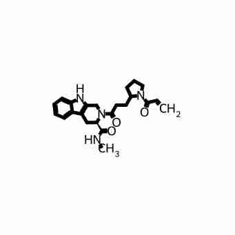 C=CC(=O)N1CCCC1CCC(=O)N1Cc2[nH]c3ccccc3c2C[C@@H]1C(=O)NC